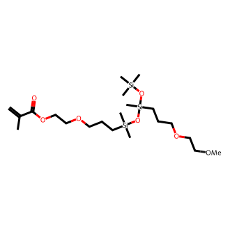 C=C(C)C(=O)OCCOCCC[Si](C)(C)O[Si](C)(CCCOCCOC)O[Si](C)(C)C